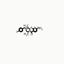 C[C@@H]1CN(Cc2ccc(F)cc2)[C@@H](C)CN1C(=O)c1ccc(N)nc1F